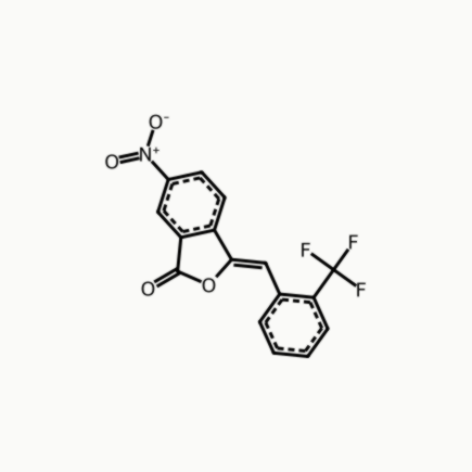 O=C1OC(=Cc2ccccc2C(F)(F)F)c2ccc([N+](=O)[O-])cc21